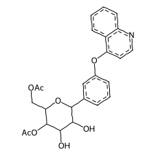 CC(=O)OCC1OC(c2cccc(Oc3ccnc4ccccc34)c2)C(O)C(O)C1OC(C)=O